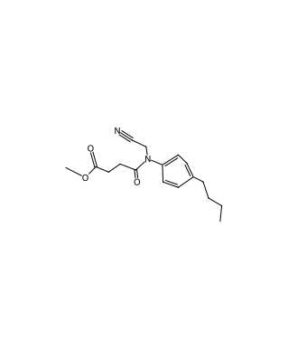 CCCCc1ccc(N(CC#N)C(=O)CCC(=O)OC)cc1